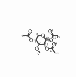 CO[C@@H]1[C@H](OC(C)=O)COC(OC(C)=O)[C@@H]1OC(C)=O